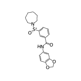 O=C(Nc1ccc2c(c1)OCO2)c1cccc([S+]([O-])N2CCCCCC2)c1